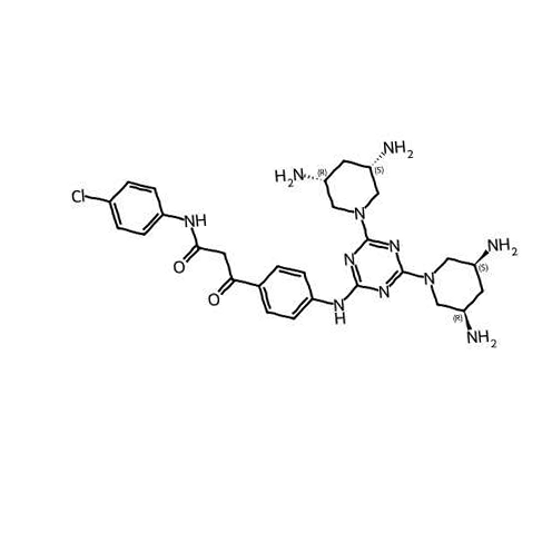 N[C@@H]1C[C@H](N)CN(c2nc(Nc3ccc(C(=O)CC(=O)Nc4ccc(Cl)cc4)cc3)nc(N3C[C@H](N)C[C@H](N)C3)n2)C1